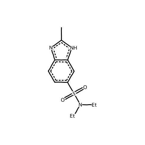 CCN(CC)S(=O)(=O)c1ccc2nc(C)[nH]c2c1